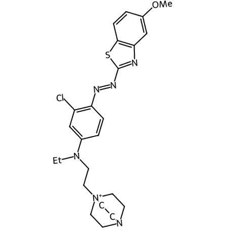 CCN(CC[N+]12CCN(CC1)CC2)c1ccc(/N=N/c2nc3cc(OC)ccc3s2)c(Cl)c1